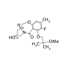 COC(C)(C)COc1c(F)c(C)cc2c1C(=O)N1C[C@@H](O)C[C@@H]1CO2